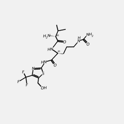 CC(C)[C@@H](N)C(=O)N[C@H](CCCNC(N)=O)C(=O)Nc1nc(C(F)(F)F)c(CO)s1